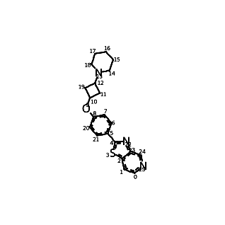 c1cc2sc(-c3ccc(OC4CC(N5CCCCC5)C4)cc3)nc2cn1